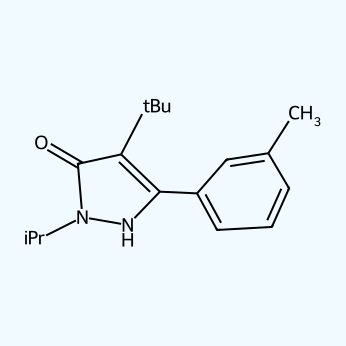 Cc1cccc(-c2[nH]n(C(C)C)c(=O)c2C(C)(C)C)c1